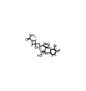 NC(=O)N1CC(O)(CNc2nonc2/C(=N/O)Nc2ccc(F)c(Br)c2)C1